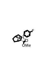 COC(=O)[C@@H]1C2CCC(C[C@@H]1c1ccc(F)cc1)N2C